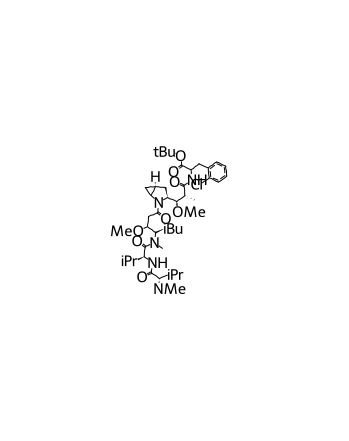 CC[C@H](C)C(C(CC(=O)N1C2C[C@H]2C[C@H]1[C@H](OC)[C@@H](C)C(=O)NC(Cc1ccccc1Cl)C(=O)OC(C)(C)C)OC)N(C)C(=O)[C@@H](NC(=O)[C@@H](NC)C(C)C)C(C)C